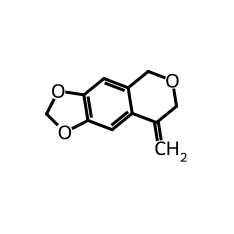 C=C1COCc2cc3c(cc21)OCO3